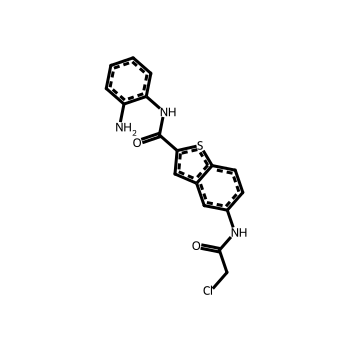 Nc1ccccc1NC(=O)c1cc2cc(NC(=O)CCl)ccc2s1